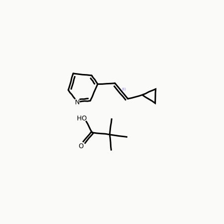 C(=C\C1CC1)/c1cccnc1.CC(C)(C)C(=O)O